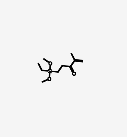 C=C(C)C(=O)CC[Si](CC)(OC)OC